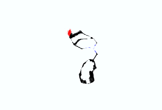 O=C1CC2CC1CN(Cc1ccccc1)C2